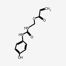 C=CC(=O)OCNC(=O)Nc1ccc(O)cc1